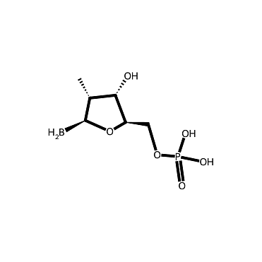 B[C@@H]1O[C@H](COP(=O)(O)O)[C@@H](O)[C@H]1C